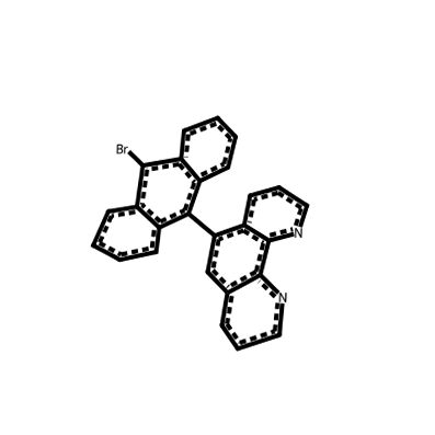 Brc1c2ccccc2c(-c2cc3cccnc3c3ncccc23)c2ccccc12